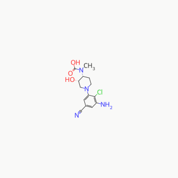 CN(C(=O)O)[C@@H]1CCN(c2cc(C#N)cc(N)c2Cl)C[C@@H]1O